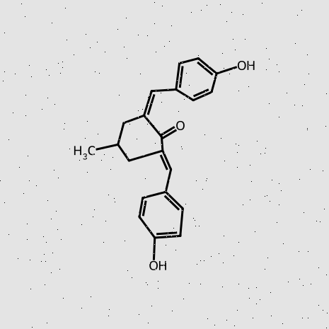 CC1C/C(=C/c2ccc(O)cc2)C(=O)/C(=C/c2ccc(O)cc2)C1